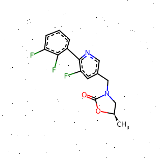 C[C@@H]1CN(Cc2cnc(-c3cccc(F)c3F)c(F)c2)C(=O)O1